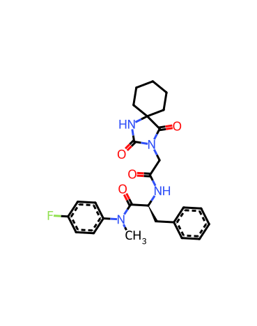 CN(C(=O)[C@H](Cc1ccccc1)NC(=O)CN1C(=O)NC2(CCCCC2)C1=O)c1ccc(F)cc1